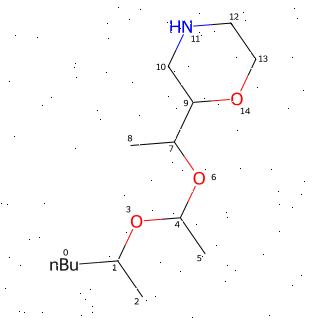 CCCCC(C)OC(C)OC(C)C1CNCCO1